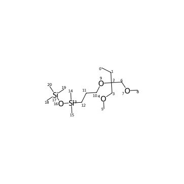 CCC(COC)(COC)OCCC[Si](C)(C)O[Si](C)(C)C